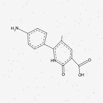 Cc1cc(C(=O)O)c(=O)[nH]c1-c1ccc(N)cc1